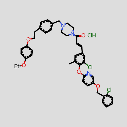 CCOc1ccc(OCCc2ccc(CN3CCN(C(=O)C=Cc4cc(C)c(Oc5ccc(OCc6ccccc6Cl)cn5)c(Cl)c4)CC3)cc2)cc1.Cl